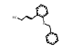 OCC=Cc1ccccc1OCc1ccccc1